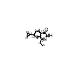 CCc1n[nH]c(=O)c2ccc(C3CC3)nc12